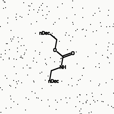 CCCCCCCCCCCNC(=O)OCCCCCCCCCCC